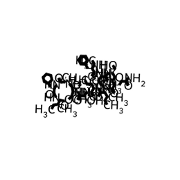 CC[C@@H](C)[C@@H](NC(=O)[C@@H](CCC(N)=O)NC(=O)[C@H](CO)NC(=O)[C@@H](NC(=O)[C@@H](Cc1ccccc1)NC)[C@@H](C)CC)C(=O)N[C@H](C(=O)N[C@@H](CO)C(=O)N[C@H]1C(=O)N[C@@H](C)C(=O)N[C@@H](CC2CCCCC2)C(=O)N[C@@H]([C@@H](C)CC)C(=O)O[C@H]1C)[C@@H](C)CC